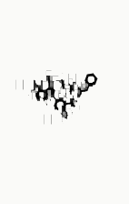 COc1ncc(-c2cc(C(F)(F)F)c3c(N)ncnn23)cc1C(=O)NCC(Cc1ccccc1)NC(=O)OC(C)(C)C